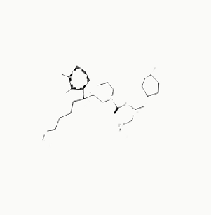 CNC[C@H](C[C@H]1CC[C@H](F)CC1)NC(=O)N1CCC[C@@H]([C@@](O)(CCCCOC)c2cccc(F)c2F)C1